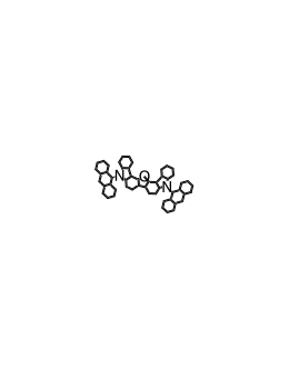 c1ccc2c(-n3c4ccccc4c4c5oc6c(ccc7c6c6ccccc6n7-c6c7ccccc7cc7ccccc67)c5ccc43)c3ccccc3cc2c1